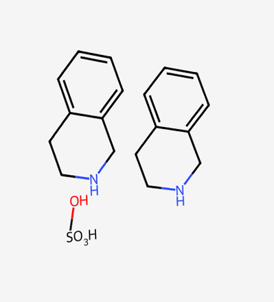 O=S(=O)(O)O.c1ccc2c(c1)CCNC2.c1ccc2c(c1)CCNC2